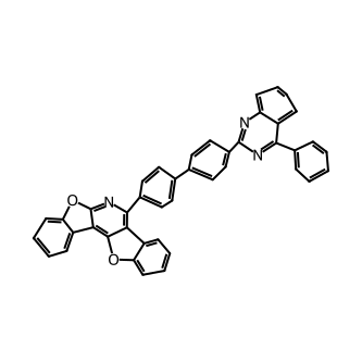 c1ccc(-c2nc(-c3ccc(-c4ccc(-c5nc6oc7ccccc7c6c6oc7ccccc7c56)cc4)cc3)nc3ccccc23)cc1